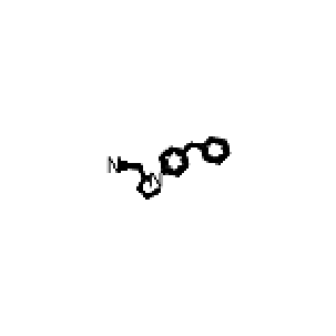 N#CCC1CCCN1c1ccc(Cc2ccccc2)cc1